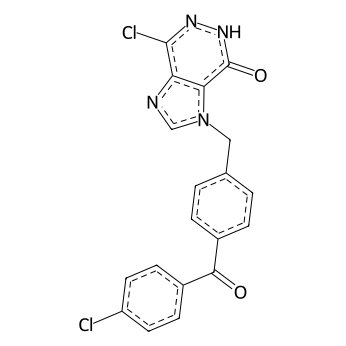 O=C(c1ccc(Cl)cc1)c1ccc(Cn2cnc3c(Cl)n[nH]c(=O)c32)cc1